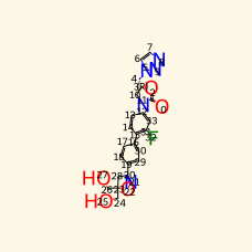 O=C1O[C@@H](Cn2ccnn2)CN1c1ccc(-c2ccc(C3=NOC(CO)(CO)C3)cc2)c(F)c1